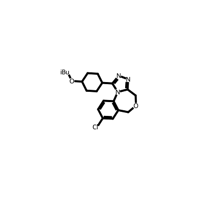 CCC(C)OC1CCC(c2nnc3n2-c2ccc(Cl)cc2COC3)CC1